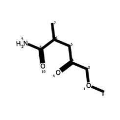 COCC(=O)CC(C)C(N)=O